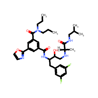 CCCN(CCC)C(=O)c1cc(C(=O)NC(Cc2cc(F)cc(F)c2)C(O)CNC(C)(C)C(=O)NCC(C)C)cc(-c2ncco2)c1